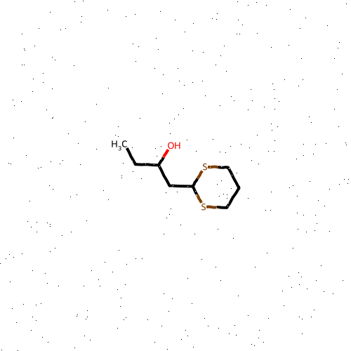 CCC(O)CC1SCCCS1